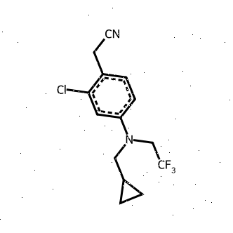 N#CCc1ccc(N(CC2CC2)CC(F)(F)F)cc1Cl